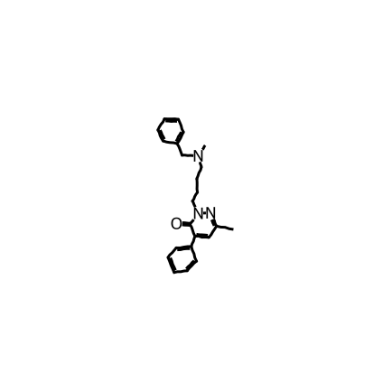 Cc1cc(-c2ccccc2)c(=O)n(CCCCN(C)Cc2ccccc2)n1